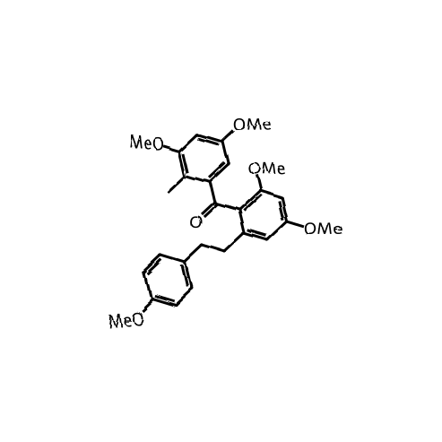 COc1ccc(CCc2cc(OC)cc(OC)c2C(=O)c2cc(OC)cc(OC)c2C)cc1